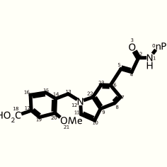 CCCNC(=O)C=Cc1ccc2ccn(Cc3ccc(C(=O)O)cc3OC)c2c1